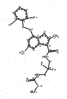 Cc1cc(OCc2c(F)cccc2F)n2nc(C)c(C(=O)NCC(F)(F)CNC(=O)OC(C)(C)C)c2c1